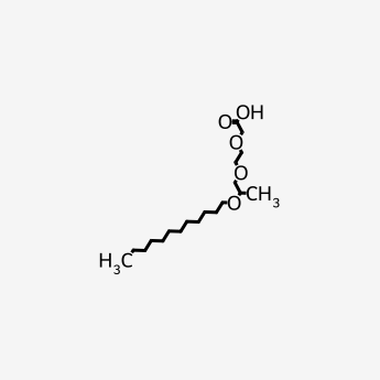 CCCCCCCCCCCCOC(C)COCCOCC(=O)O